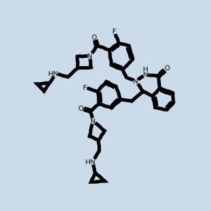 O=C1NN(Cc2ccc(F)c(C(=O)N3CC(CNC4CC4)C3)c2)C(Cc2ccc(F)c(C(=O)N3CC(CNC4CC4)C3)c2)c2ccccc21